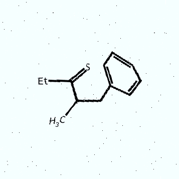 CCC(=S)[C](C)Cc1ccccc1